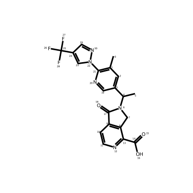 Cc1cc(C(C)N2Cc3c(ccnc3C(=O)O)C2=O)cnc1-n1cc(C(F)(F)F)cn1